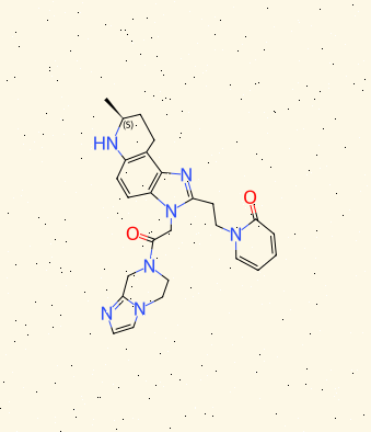 C[C@H]1CCc2c(ccc3c2nc(CCn2ccccc2=O)n3CC(=O)N2CCn3ccnc3C2)N1